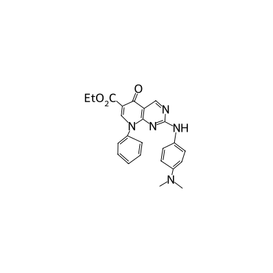 CCOC(=O)c1cn(-c2ccccc2)c2nc(Nc3ccc(N(C)C)cc3)ncc2c1=O